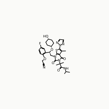 Cc1c(-n2nccn2)sc2c1c(=O)n(C(C)(C)C(=O)NC(C)C)c(=O)n2C[C@H](O[C@H]1CC[C@@H](O)CC1)c1cc(F)ccc1OCC#N